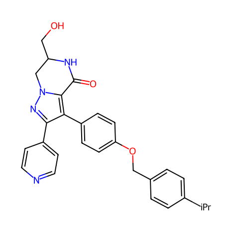 CC(C)c1ccc(COc2ccc(-c3c(-c4ccncc4)nn4c3C(=O)NC(CO)C4)cc2)cc1